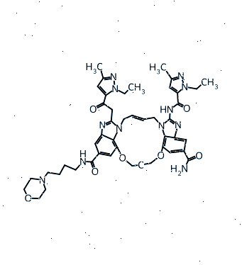 CCn1nc(C)cc1C(=O)Cc1nc2cc(C(=O)NCCCCN3CCOCC3)cc3c2n1C/C=C/Cn1c(NC(=O)c2cc(C)nn2CC)nc2cc(C(N)=O)cc(c21)OCCCO3